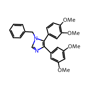 COc1cc(OC)cc(-c2ncn(Cc3ccccc3)c2-c2ccc(OC)c(OC)c2)c1